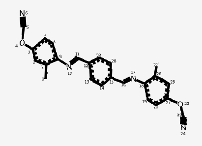 Cc1cc(OC#N)ccc1/N=C/c1ccc(/C=N/c2ccc(OC#N)cc2C)cc1